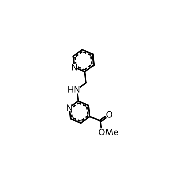 COC(=O)c1ccnc(NCc2ccccn2)c1